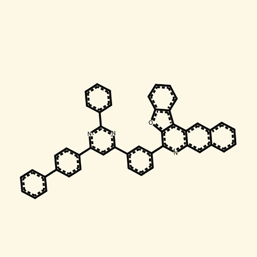 c1ccc(-c2ccc(-c3cc(-c4cccc(-c5nc6cc7ccccc7cc6c6c5oc5ccccc56)c4)nc(-c4ccccc4)n3)cc2)cc1